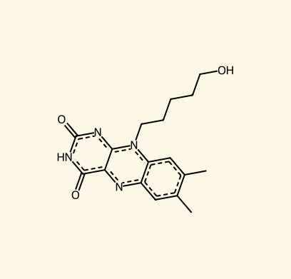 Cc1cc2nc3c(=O)[nH]c(=O)nc-3n(CCCCCO)c2cc1C